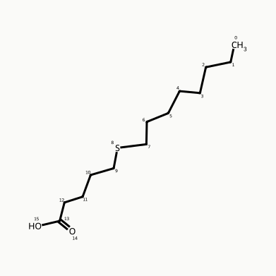 CCCCCCCCSCCCCC(=O)O